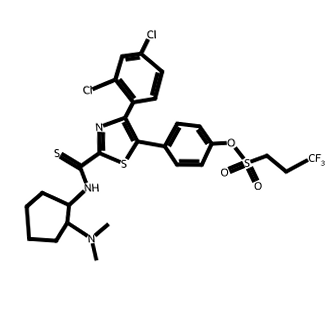 CN(C)C1CCCCC1NC(=S)c1nc(-c2ccc(Cl)cc2Cl)c(-c2ccc(OS(=O)(=O)CCC(F)(F)F)cc2)s1